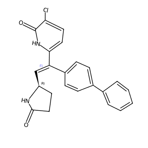 O=C1CC[C@H](/C=C(\c2ccc(-c3ccccc3)cc2)c2ccc(Cl)c(=O)[nH]2)N1